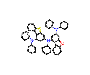 c1ccc(N(c2ccccc2)c2cc(N(c3ccccc3)c3cc(N(c4ccccc4)c4ccccc4)c4c(c3)sc3ccccc34)c3c(c2)oc2ccccc23)cc1